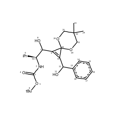 CC(C)[C@H](NC(=O)OC(C)(C)C)C(O)C1=C(C(O)c2ccccc2)C12OCC(C)(C)CO2